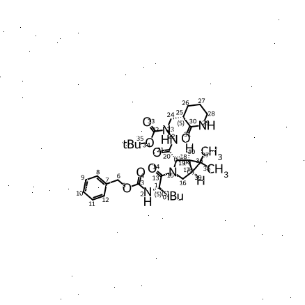 CC[C@H](C)[C@H](NC(=O)OCc1ccccc1)C(=O)N1C[C@H]2[C@@H]([C@H]1C(=O)NN(C[C@@H]1CCCNC1=O)C(=O)OC(C)(C)C)C2(C)C